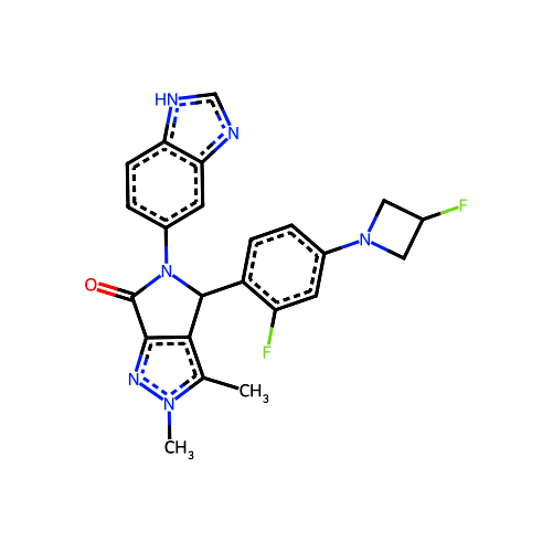 Cc1c2c(nn1C)C(=O)N(c1ccc3[nH]cnc3c1)C2c1ccc(N2CC(F)C2)cc1F